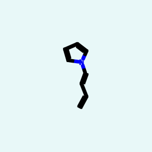 C=CC=Cn1cccc1